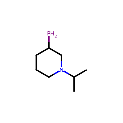 CC(C)N1CCCC(P)C1